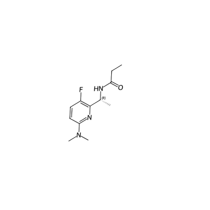 CCC(=O)N[C@H](C)c1nc(N(C)C)ccc1F